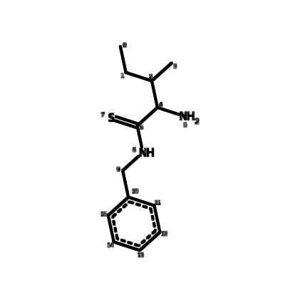 CCC(C)C(N)C(=S)NCc1ccccc1